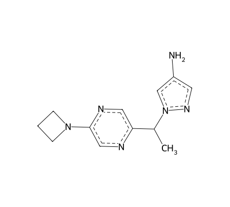 CC(c1cnc(N2CCC2)cn1)n1cc(N)cn1